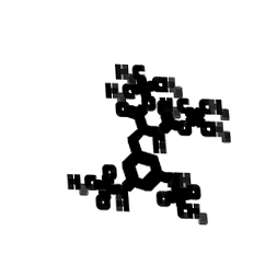 CC(C)(C)OC(=O)N[C@@H](Cc1cc(NS(C)(=O)=O)cc(NS(C)(=O)=O)c1)C(=O)OC(C)(C)C